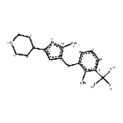 Cc1c(Cc2cc(C3CCOCC3)nn2C)cccc1C(F)(F)F